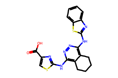 O=C(O)c1csc(Nc2nnc(Nc3nc4ccccc4s3)c3c2CCCC3)n1